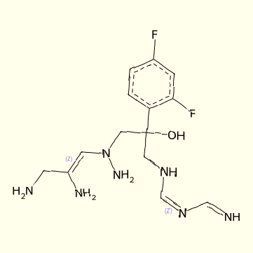 N=C/N=C\NCC(O)(CN(N)/C=C(\N)CN)c1ccc(F)cc1F